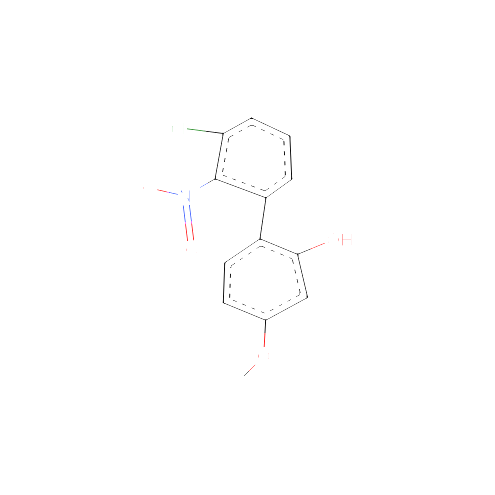 COc1ccc(-c2cccc(Cl)c2[N+](=O)[O-])c(O)c1